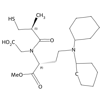 COC(=O)[C@@H](CCN(C1CCCCC1)C1CCCCC1)N(CC(=O)O)C(=O)[C@H](C)CS